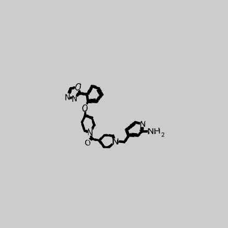 Nc1cc(CN2CCC(C(=O)N3CCC(Oc4ccccc4-c4nnco4)CC3)CC2)ccn1